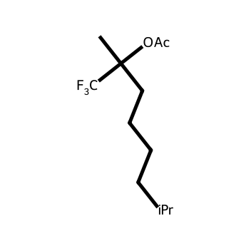 CC(=O)OC(C)(CCCCC(C)C)C(F)(F)F